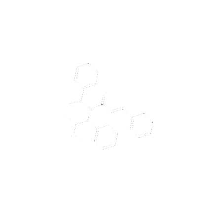 CC(c1ccccc1)N(C(=O)/C=C/c1ccccc1)C(c1ccccc1)C(O)C(=O)O